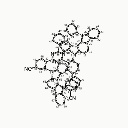 N#Cc1ccc(-c2ccc(-n3c4ccccc4c4c3ccc3c5ccccc5n(-c5ccccc5)c34)c(-c3nc(-c4ccccc4)nc(-c4ccc(C#N)cc4-n4c5ccccc5c5c4ccc4c6ccccc6n(-c6ccccc6)c45)n3)c2)cc1